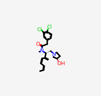 C=C(/C=C\C=C/C)[C@@H](CN1CC[C@@H](O)C1)N(C)C(=O)Cc1ccc(Cl)c(Cl)c1